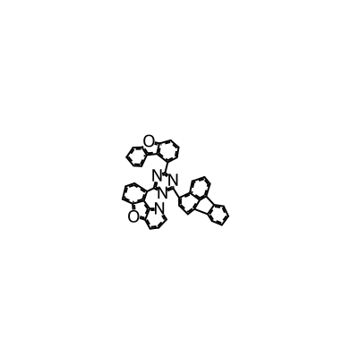 c1ccc2c(c1)-c1cccc3c(-c4nc(-c5cccc6oc7ccccc7c56)nc(-c5cccc6oc7cccnc7c56)n4)ccc-2c13